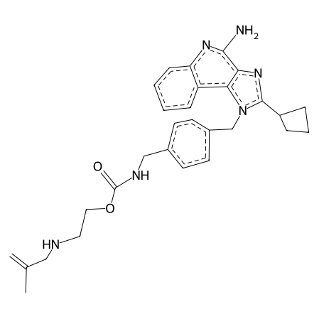 C=C(C)CNCCOC(=O)NCc1ccc(Cn2c(C3CCC3)nc3c(N)nc4ccccc4c32)cc1